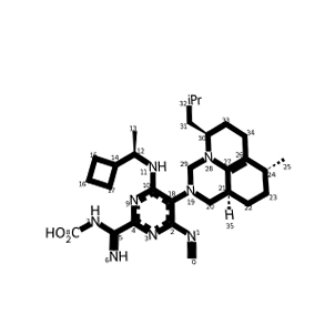 C=Nc1nc(C(=N)NC(=O)O)nc(N[C@H](C)C2CCC2)c1N1C[C@@H]2CC[C@@H](C)C3=C2N(C1)[C@@H](CC(C)C)CC3